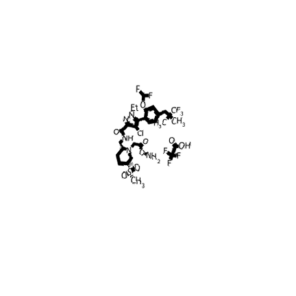 CCn1nc(C(=O)NC[C@@H]2CC[C@@H](S(C)(=O)=O)CN2CC(=O)ON)c(Cl)c1-c1ccc(CC(C)(C)C(F)(F)F)cc1OC(F)F.O=C(O)C(F)(F)F